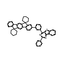 c1ccc(-c2nc(-c3cccc(-c4ccc5c(c4)C4(CCCCC4)c4cc6c(cc4-5)C4(CCCCC4)c4ccccc4-6)c3)c3sc4ccccc4c3n2)cc1